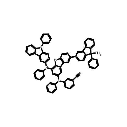 CC1(c2ccccc2)c2ccccc2-c2cc(-c3ccc4oc5c(N(c6ccccc6)c6ccc7c(c6)c6ccccc6n7-c6ccccc6)cc(N(c6ccccc6)c6cccc(C#N)c6)cc5c4c3)ccc21